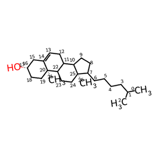 CC(C)CCCCC1CCC2C3CC=C4C[C@@H](O)CC[C@]4(C)C3CC[C@]12C